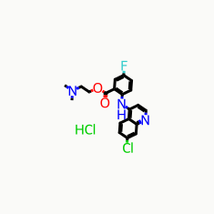 CN(C)CCOC(=O)c1cc(F)ccc1Nc1ccnc2cc(Cl)ccc12.Cl